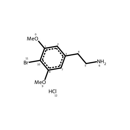 COc1cc(CCN)cc(OC)c1Br.Cl